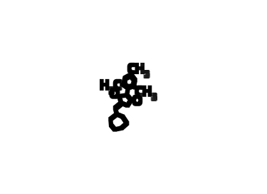 Cc1cc(C)c(C2C(=O)CC(=CC3CCCCCC3)C2=O)c(C)c1